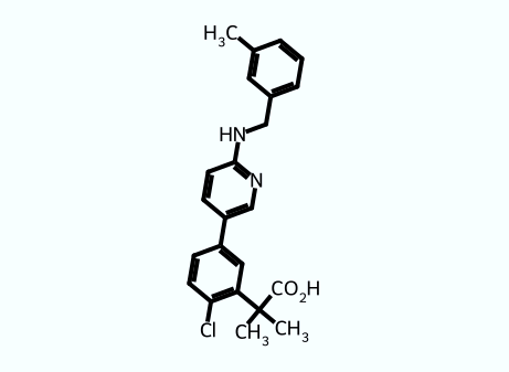 Cc1cccc(CNc2ccc(-c3ccc(Cl)c(C(C)(C)C(=O)O)c3)cn2)c1